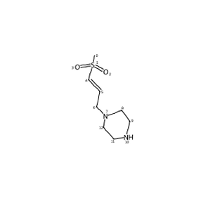 CS(=O)(=O)/C=C/CN1CCNCC1